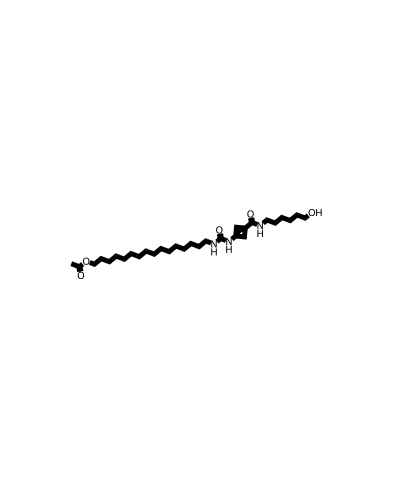 CC(=O)OCCCCCCCCCCCCCCCCNC(=O)NC12CC(C(=O)NCCCCCCO)(C1)C2